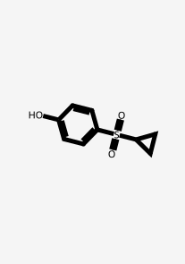 O=S(=O)(c1ccc(O)cc1)C1CC1